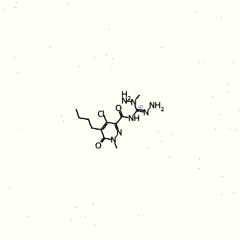 CCCCc1c(Cl)c(C(=O)N/C(=N/N)N(C)N)nn(C)c1=O